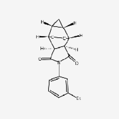 CCc1cccc(N2C(=O)[C@@H]3[C@@H]4CC[C@@H]([C@@H]5C[C@@H]54)[C@@H]3C2=O)c1